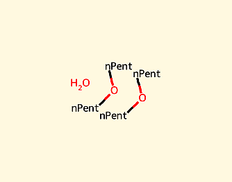 CCCCCOCCCCC.CCCCCOCCCCC.O